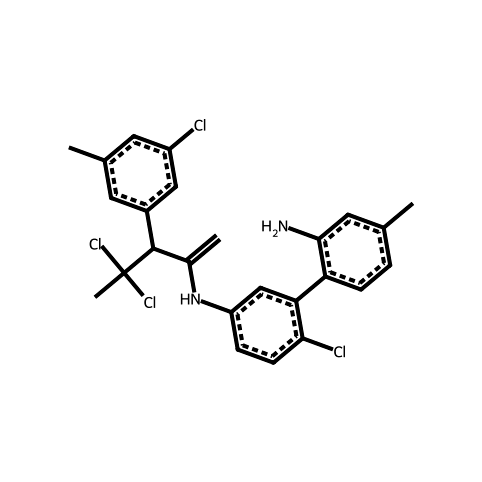 C=C(Nc1ccc(Cl)c(-c2ccc(C)cc2N)c1)C(c1cc(C)cc(Cl)c1)C(C)(Cl)Cl